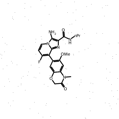 CCCNC(=O)c1nc2c(-c3cc4c(cc3OC)N(C)C(=O)CO4)c(F)ccn2c1N